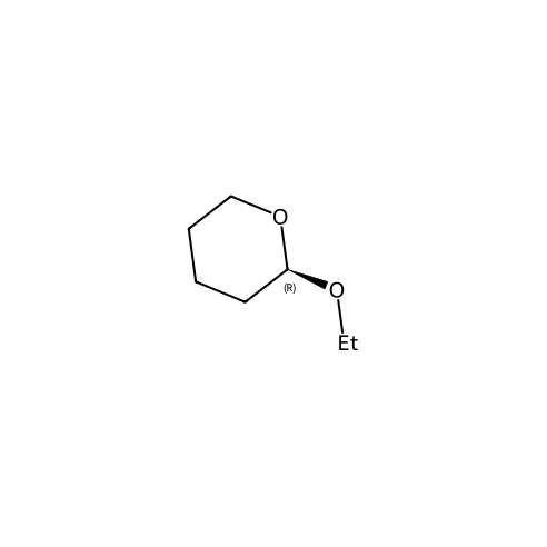 CCO[C@H]1CCCCO1